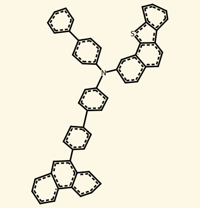 c1ccc(-c2ccc(N(c3ccc(-c4ccc(-c5cc6ccccc6c6ccccc56)cc4)cc3)c3ccc4ccc5c6ccccc6sc5c4c3)cc2)cc1